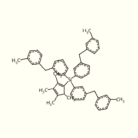 CC1=C(C)C(C)C([Si](c2cccc(Cc3cccc(C)c3)c2)(c2cccc(Cc3cccc(C)c3)c2)c2cccc(Cc3cccc(C)c3)c2)=C1C